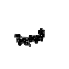 Cc1cc(N2C(=O)CC[C@@H]2CO)ccc1CCS(=O)(=O)N1CCC2(CC1)N=C(c1cccc(C(F)(F)F)c1)NC2=O